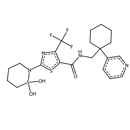 O=C(NCC1(c2cccnc2)CCCCC1)c1sc(N2CCCCS2(O)O)nc1C(F)(F)F